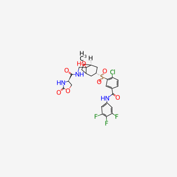 C[C@H]1CC2C[C@@H](S(=O)(=O)c3cc(C(=O)Nc4cc(F)c(F)c(F)c4)ccc3Cl)C[C@H]1[C@@]2(O)CNC(=O)[C@H]1COC(=O)N1